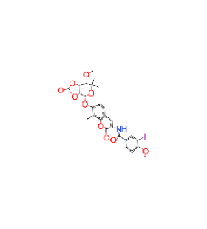 COc1ccc(C(=O)Nc2cc3ccc(O[C@@H]4OC(C)(C)C(OC)C5OC(=O)OC54)c(C)c3oc2=O)cc1I